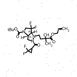 C=CCOC(=O)C(C)(C)CCN1[C@@H]2[C@H](CN1C(=O)C1CC1(F)F)N(C(=O)OC(C)(C)C)CC2(F)F